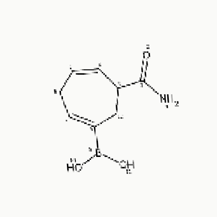 NC(=O)C1C=CCC=C(B(O)O)C1